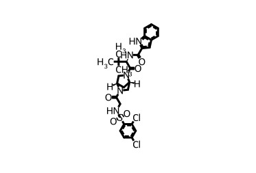 CC(C)(C)[C@H](NC(=O)c1cc2ccccc2[nH]1)C(=O)N1C[C@@H]2C[C@H]1CN2C(=O)CNS(=O)(=O)c1ccc(Cl)cc1Cl